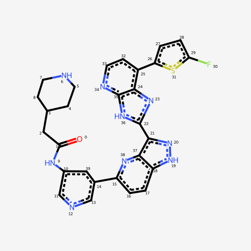 O=C(CC1CCNCC1)Nc1cncc(-c2ccc3[nH]nc(-c4nc5c(-c6ccc(F)s6)ccnc5[nH]4)c3n2)c1